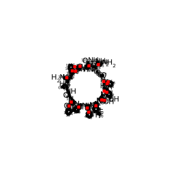 CC(C)C[C@H]1NC(=O)[C@H](C)N(C)C(=O)C(CCC(N)=O)NC(=O)[C@H](Cc2ccc(-c3ccccc3)cc2)NC(=O)[C@H](CCc2ccccc2)NC(=O)C(Cc2cccc(C(F)(F)F)c2)NC(=O)[C@H](CC(=O)O)NC(=O)C(Cc2ccc(O)cc2)NC(=O)[C@H](CC2CCCCC2)NC(=O)CSC[C@@H](C(=O)C[C@@H](CCN)C(N)=O)NC(=O)C(CCC(N)=O)NC(=O)C(C(C)C)NC(=O)C(CC2CCCCC2)NC(=O)[C@H](CCN)NC1=O